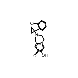 O=c1cc2n(cc1O)CCN(C1(c3ccccc3Cl)CC1)C2